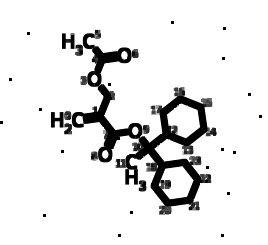 C=C(COC(C)=O)C(=O)OC(C)(C1CCCCC1)C1CCCCC1